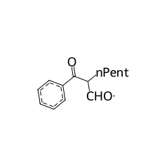 CCCCCC([C]=O)C(=O)c1ccccc1